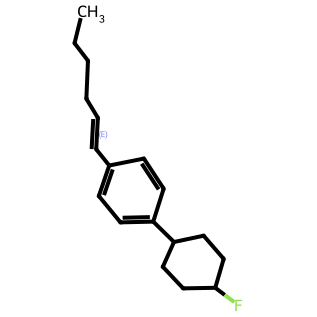 CCCC/C=C/c1ccc(C2CCC(F)CC2)cc1